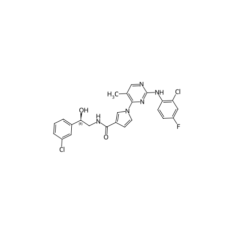 Cc1cnc(Nc2ccc(F)cc2Cl)nc1-n1ccc(C(=O)NC[C@H](O)c2cccc(Cl)c2)c1